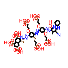 Cc1c(N=Nc2cc(OCCCS(=O)(=O)O)c(N=Nc3cc(OCCCS(=O)(=O)O)c(N=Nc4nc5c(S(=O)(=O)O)cc6c(S(=O)(=O)O)cc(S(=O)(=O)O)cc6c5s4)cc3SCCCS(=O)(=O)O)cc2OCCCS(=O)(=O)O)c(O)n2c3c(nc2c1C#N)CCC=C3